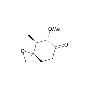 CO[C@@H]1C(=O)CC[C@]2(CO2)[C@H]1C